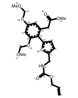 C=CCOC(=O)NCc1ccc(-c2c(CC(=O)OC)cc(OCOC)cc2OCOC)o1